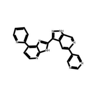 c1ccc(-c2ccnc3[nH]c(-c4n[nH]c5cnc(-c6cncnc6)cc45)nc23)nc1